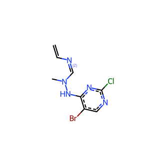 C=C/N=C\N(C)Nc1nc(Cl)ncc1Br